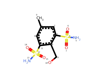 Cc1cc(S(N)(=O)=O)c(C[O])c(S(N)(=O)=O)c1